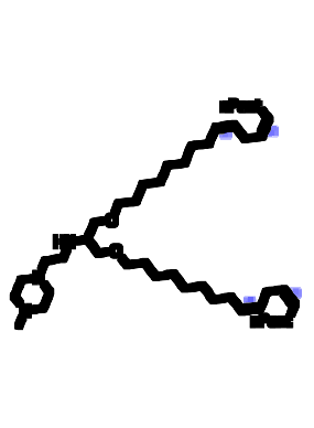 CCCCC/C=C\C/C=C\CCCCCCCCOCC(COCCCCCCCC/C=C\C/C=C\CCCCC)NCCN1CCN(C)CC1